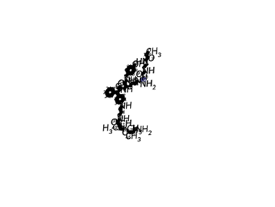 CCC(=O)NCCNC(=O)/N=C(/N)NCCC[C@@H](NC(=O)C(c1ccccc1)c1ccc(NCCCNC(=O)C(C)(C)CCOC(C)(C)CCN)cc1)C(=O)NCc1ccc(O)cc1